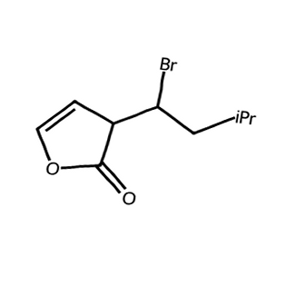 CC(C)CC(Br)C1C=COC1=O